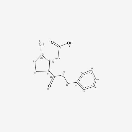 O=C(O)C[C@H]1[C@@H](O)CCN1C(=O)OCc1ccccc1